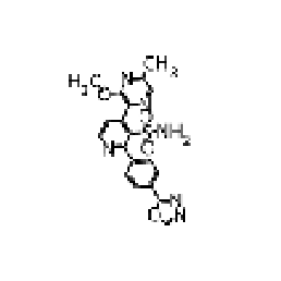 COc1nc(C)cnc1-c1ccnc(-c2ccc(-c3nnco3)cc2)c1S(N)(=O)=O